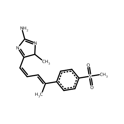 C/C(=C\C=C/C1=NC(N)=NC1C)c1ccc(S(C)(=O)=O)cc1